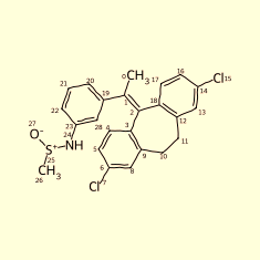 CC(=C1c2ccc(Cl)cc2CCc2cc(Cl)ccc21)c1cccc(N[S+](C)[O-])c1